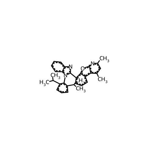 Cc1cc(C)c2c(n1)oc1c(-c3nc4ccccc4n3-c3c(C(C)C)cccc3C(C)C)cccc12